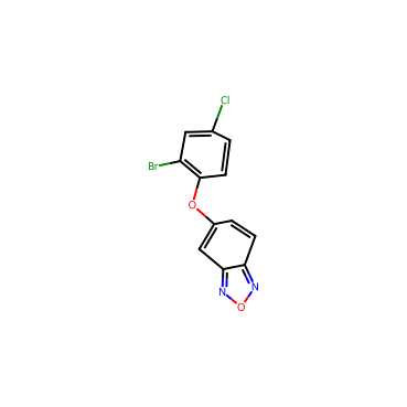 Clc1ccc(Oc2ccc3nonc3c2)c(Br)c1